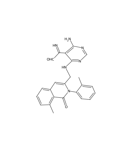 Cc1ccccc1-n1c(CNc2ncnc(N)c2C(=N)C=O)cc2cccc(C)c2c1=O